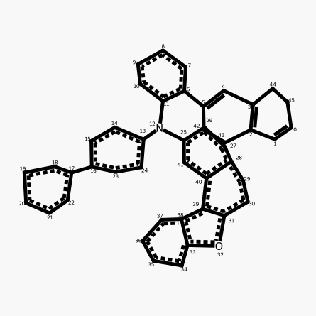 C1=CC2=C(C=C(c3ccccc3N(c3ccc(-c4ccccc4)cc3)c3ccc4ccc5oc6ccccc6c5c4c3)CC2)CC1